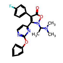 CC(N(C)C)n1oc(=O)c(-c2ccc(F)cc2)c1-c1ccnc(Oc2ccccc2)n1